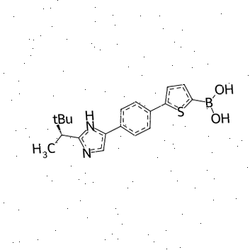 C[C@H](c1ncc(-c2ccc(-c3ccc(B(O)O)s3)cc2)[nH]1)C(C)(C)C